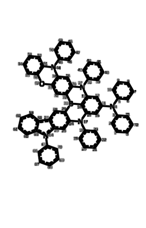 c1ccc(N(c2ccccc2)c2cc3c4c(c2)N(c2ccccc2)c2cc5c(cc2B4c2cc4c(cc2N3c2ccccc2)N(c2ccccc2)c2ccccc2O4)c2ccccc2n5-c2ccccc2)cc1